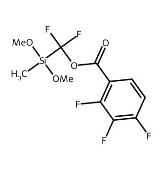 CO[Si](C)(OC)C(F)(F)OC(=O)c1ccc(F)c(F)c1F